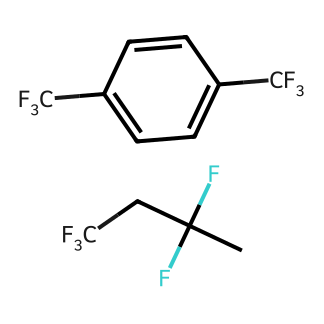 CC(F)(F)CC(F)(F)F.FC(F)(F)c1ccc(C(F)(F)F)cc1